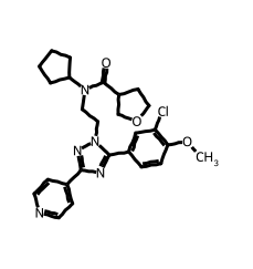 COc1ccc(-c2nc(-c3ccncc3)nn2CCN(C(=O)C2CCOC2)C2CCCC2)cc1Cl